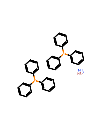 Br.N.c1ccc(P(c2ccccc2)c2ccccc2)cc1.c1ccc(P(c2ccccc2)c2ccccc2)cc1